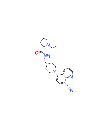 CCN1CCC[C@H]1C(=O)NCC1CCN(c2ccc(C#N)c3ncccc23)CC1